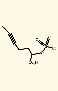 CC#CCCC(OS(=O)(=O)CC)C(=O)O